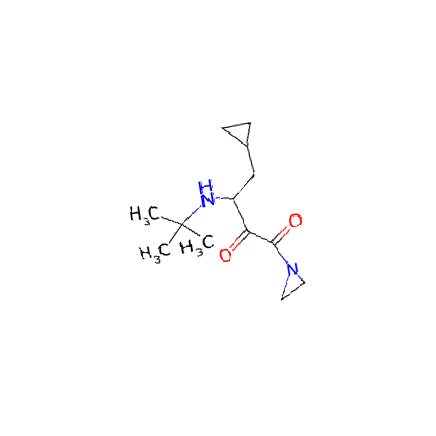 CC(C)(C)NC(CC1CC1)C(=O)C(=O)N1CC1